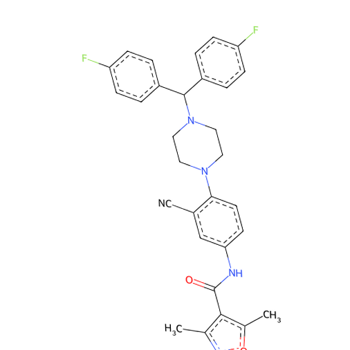 Cc1noc(C)c1C(=O)Nc1ccc(N2CCN(C(c3ccc(F)cc3)c3ccc(F)cc3)CC2)c(C#N)c1